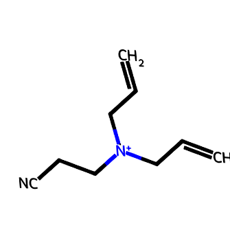 C=CC[N+](CC=C)CCC#N